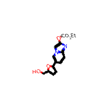 CCOC(=O)Oc1cn2cc(-c3ccc(CO)o3)ccc2n1